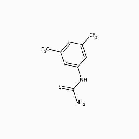 NC(=S)Nc1cc(C(F)(F)F)cc(C(F)(F)F)c1